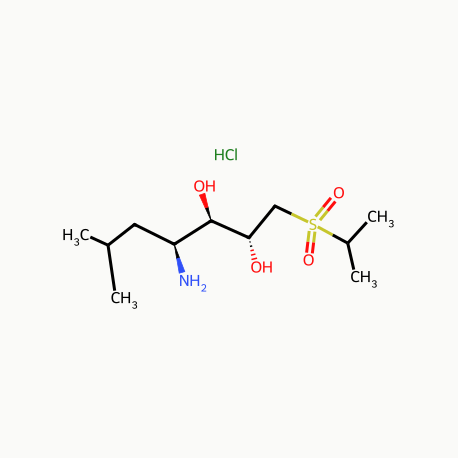 CC(C)C[C@H](N)[C@@H](O)[C@@H](O)CS(=O)(=O)C(C)C.Cl